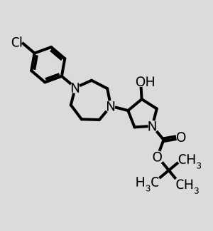 CC(C)(C)OC(=O)N1CC(O)C(N2CCCN(c3ccc(Cl)cc3)CC2)C1